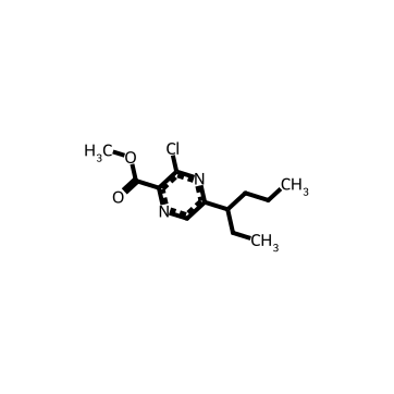 CCCC(CC)c1cnc(C(=O)OC)c(Cl)n1